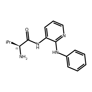 CC(C)[C@H](N)C(=O)Nc1cccnc1Nc1ccccc1